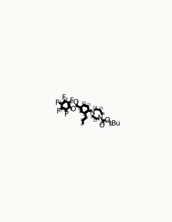 CC=Cc1cc(C(=O)Oc2c(F)c(F)c(F)c(F)c2F)ccc1N1CCCN(C(=O)OC(C)(C)C)CC1